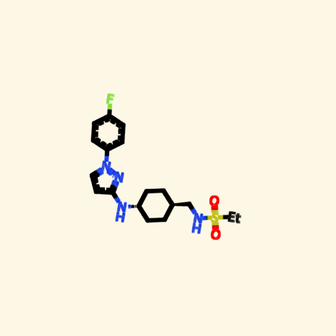 CCS(=O)(=O)NC[C@H]1CC[C@H](Nc2ccn(-c3ccc(F)cc3)n2)CC1